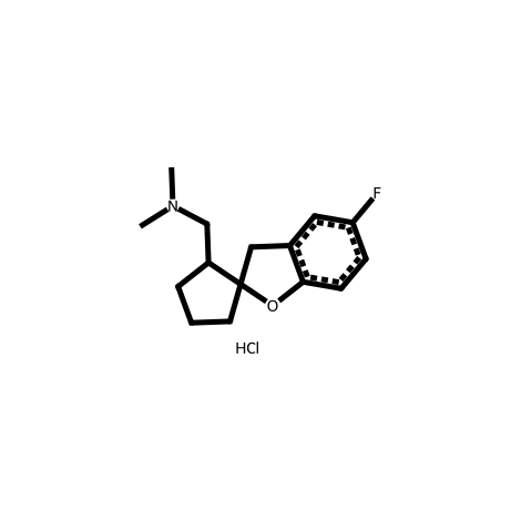 CN(C)CC1CCCC12Cc1cc(F)ccc1O2.Cl